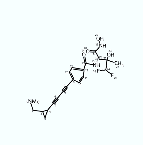 CNCC1CC1C#CC#Cc1ccc(C(=O)N[C@H](C(=O)NO)C(C)(O)C(F)F)cc1